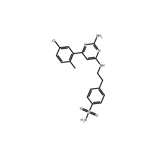 Cc1ccc(Cl)cc1-c1cc(NCCc2ccc(S(N)(=O)=O)cc2)nc(N)n1